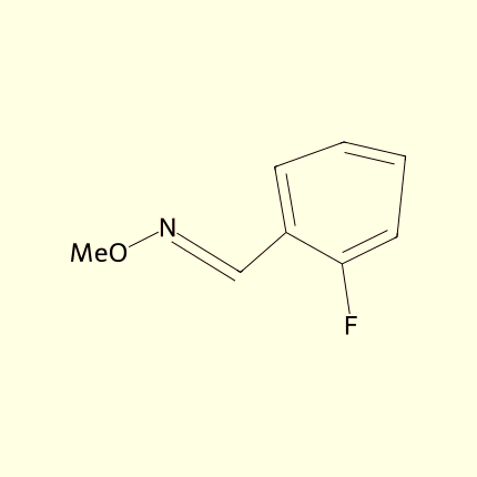 CON=Cc1ccccc1F